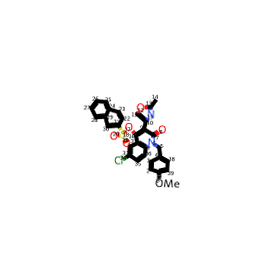 COc1ccc(Cn2c(=O)c(-c3coc(C)n3)c(OS(=O)(=O)c3ccc4ccccc4c3)c3cc(Cl)ccc32)cc1